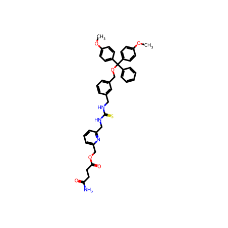 COc1ccc(C(OCc2cccc(CNC(=S)NCc3cccc(COC(=O)CCC(N)=O)n3)c2)(c2ccccc2)c2ccc(OC)cc2)cc1